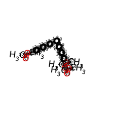 C1CCCCC1.C1CCCCC1.C1CCCCC1.C1CCCCC1.C1CCCCC1.C1CCCCC1.C1CCCCC1.CCOC(C)=O.CCOC(C)=O.CCOC(C)=O